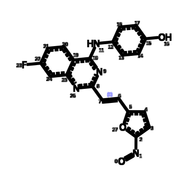 O=Nc1ccc(/C=C/c2nc(Nc3ccc(O)cc3)c3ccc(F)cc3n2)o1